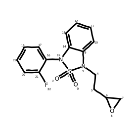 O=S1(=O)N(CCC2CO2)c2ccccc2N1c1ccccc1F